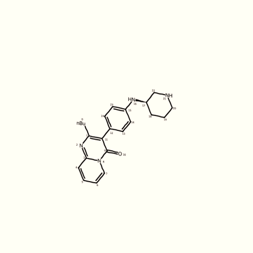 CCCCc1nc2ccccn2c(=O)c1-c1ccc(N[C@@H]2CCCNC2)cc1